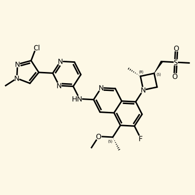 CO[C@@H](C)c1c(F)cc(N2C[C@H](CS(C)(=O)=O)[C@H]2C)c2cnc(Nc3ccnc(-c4cn(C)nc4Cl)n3)cc12